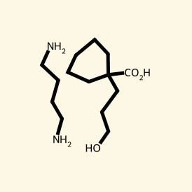 NCCCCN.O=C(O)C1(CCCO)CCCCC1